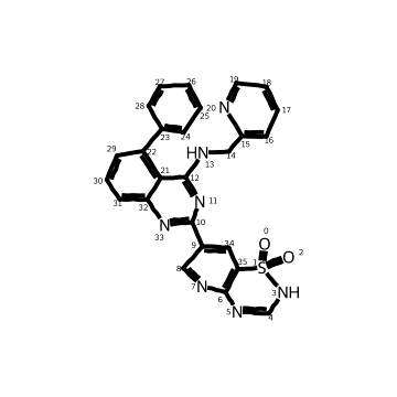 O=S1(=O)NC=Nc2ncc(-c3nc(NCc4ccccn4)c4c(-c5ccccc5)cccc4n3)cc21